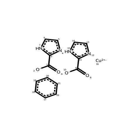 O=C([O-])c1ncc[nH]1.O=C([O-])c1ncc[nH]1.[Cu+2].c1ccccc1